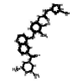 Cc1c(Oc2ccnc3ccc(C(=O)N4C[C@@H](C)O[C@@H](C)C4)cc23)ccc(CC(=O)Nc2cnn(C(C)(C)C)c2)c1F